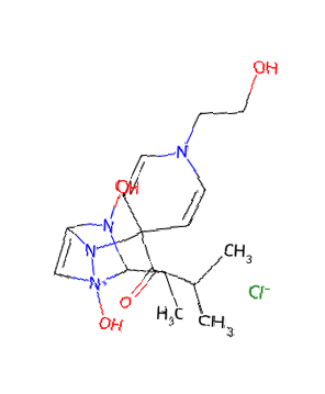 CCC1N(O)C2=C[N+]1(O)N2C1(C(=O)C(C)C)C=CN(CCO)C=C1.[Cl-]